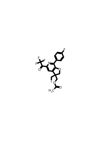 CC(=O)OCC1(CI)COc2c1cc(C(=O)C(F)(F)F)nc2-c1ccc(F)cc1